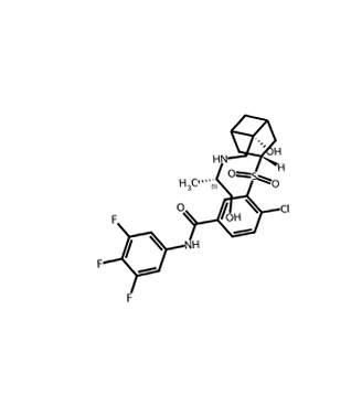 C[C@@H](CO)NC[C@]1(O)C2CC1C[C@@H](S(=O)(=O)c1cc(C(=O)Nc3cc(F)c(F)c(F)c3)ccc1Cl)C2